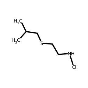 CC(C)CSCCNCl